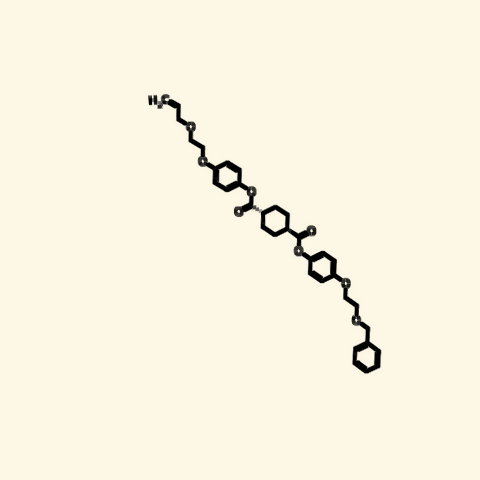 C=CCOCCOc1ccc(OC(=O)[C@H]2CC[C@H](C(=O)Oc3ccc(OCCOCc4ccccc4)cc3)CC2)cc1